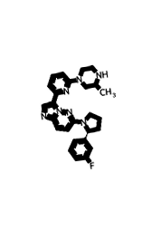 CC1CN(c2cccc(-c3cnc4ccc(N5CCC[C@@H]5c5cccc(F)c5)nn34)n2)CCN1